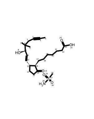 CC#CCC(C)(C)[C@H](O)/C=C/[C@H]1CCC(=O)[C@@H]1CCCCCCC(=O)O.CS(N)(=O)=O